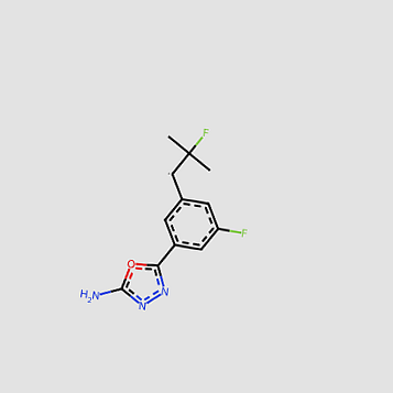 CC(C)(F)[CH]c1cc(F)cc(-c2nnc(N)o2)c1